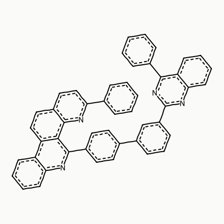 c1ccc(-c2ccc3ccc4c5ccccc5nc(-c5ccc(-c6cccc(-c7nc(-c8ccccc8)c8ccccc8n7)c6)cc5)c4c3n2)cc1